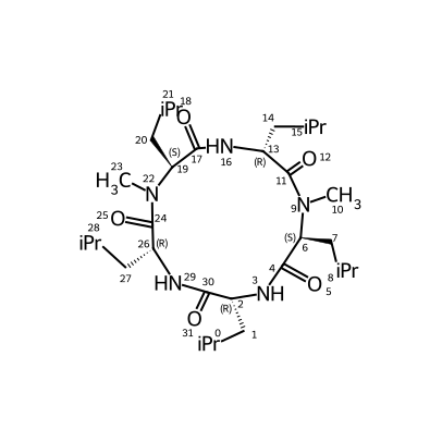 CC(C)C[C@H]1NC(=O)[C@H](CC(C)C)N(C)C(=O)[C@@H](CC(C)C)NC(=O)[C@H](CC(C)C)N(C)C(=O)[C@@H](CC(C)C)NC1=O